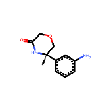 C[C@]1(c2cccc(N)c2)COCC(=O)N1